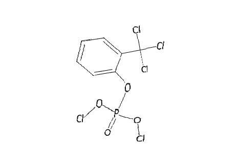 O=P(OCl)(OCl)Oc1ccccc1C(Cl)(Cl)Cl